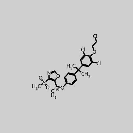 C[C@@H](Oc1ccc(C(C)(C)c2cc(Cl)c(OCCCl)c(Cl)c2)cc1)c1ocnc1S(C)(=O)=O